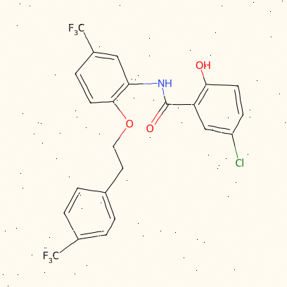 O=C(Nc1cc(C(F)(F)F)ccc1OCCc1ccc(C(F)(F)F)cc1)c1cc(Cl)ccc1O